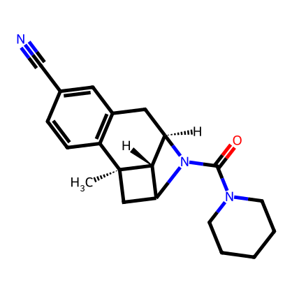 C[C@@]12CC3[C@H]1[C@@H](Cc1cc(C#N)ccc12)N3C(=O)N1CCCCC1